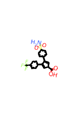 NS(=O)(=O)c1ccc(C2=CC(C(=O)O)C=C2c2ccc(C(F)(F)F)cc2)cc1